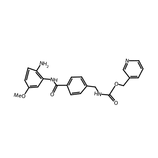 COc1ccc(N)c(NC(=O)c2ccc(CNC(=O)OCc3cccnc3)cc2)c1